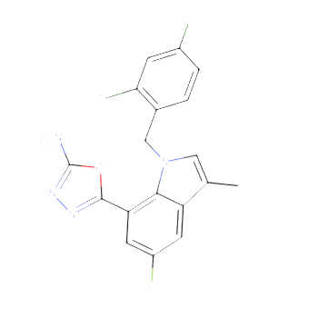 Cc1cn(Cc2ccc(Cl)cc2Cl)c2c(-c3nnc(N)o3)cc(F)cc12